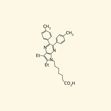 CCc1c(CC)n(CCCCCCC(=O)O)c2nc(-c3ccc(C)cc3)c(-c3ccc(C)cc3)nc12